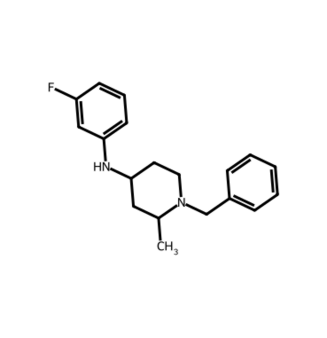 CC1CC(Nc2cccc(F)c2)CCN1Cc1ccccc1